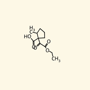 CCOC(=O)C(=O)C1(C(=O)O)CCCC1C